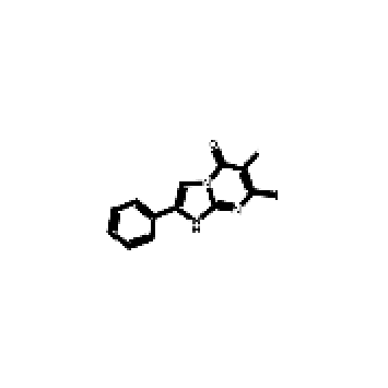 O=c1c(I)c(I)nc2[nH]c(-c3ccccc3)cn12